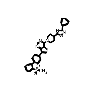 CS(=O)(=O)c1ccccc1-c1ccc(-c2csc3c(N4CCC(c5nc(-c6ccccc6)no5)CC4)ncnc23)cc1